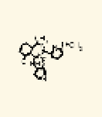 COc1cccc(C2=NC(C)C3CC=CC(Cl)=C3C(Nc3ccncc3F)=N2)n1